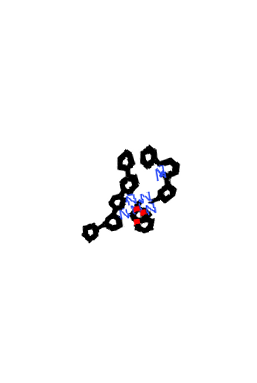 c1ccc(-c2ccc3c(c2)c2ccc4c5cc(-c6ccccc6)ccc5n(-c5nc(-c6ccccc6)nc(-c6cccc(-c7cccc(-c8ccccc8)n7)c6)n5)c4c2n3-c2ccccc2)cc1